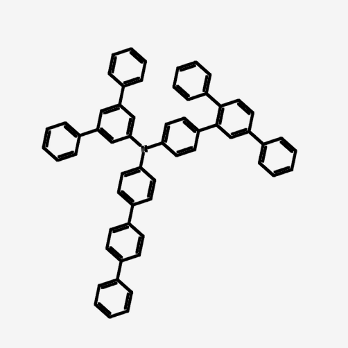 c1ccc(-c2ccc(-c3ccc(N(c4ccc(-c5cc(-c6ccccc6)ccc5-c5ccccc5)cc4)c4cc(-c5ccccc5)cc(-c5ccccc5)c4)cc3)cc2)cc1